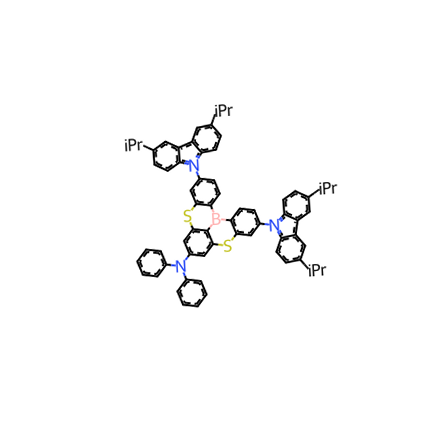 CC(C)c1ccc2c(c1)c1cc(C(C)C)ccc1n2-c1ccc2c(c1)Sc1cc(N(c3ccccc3)c3ccccc3)cc3c1B2c1ccc(-n2c4ccc(C(C)C)cc4c4cc(C(C)C)ccc42)cc1S3